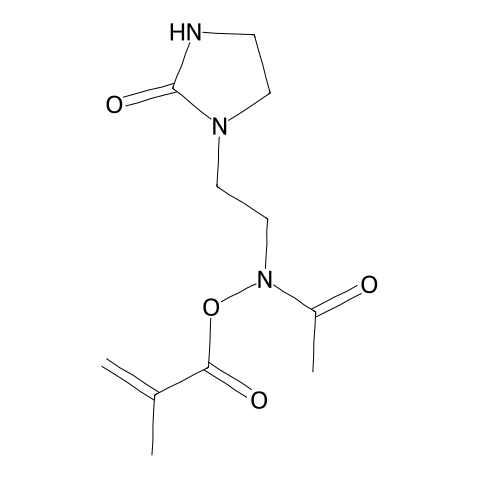 C=C(C)C(=O)ON(CCN1CCNC1=O)C(C)=O